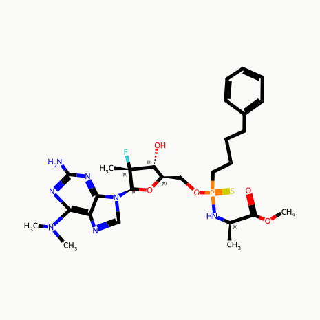 COC(=O)[C@@H](C)NP(=S)(CCCCc1ccccc1)OC[C@H]1O[C@@H](n2cnc3c(N(C)C)nc(N)nc32)[C@](C)(F)[C@@H]1O